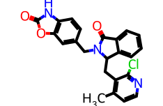 Cc1ccnc(Cl)c1CC1c2ccccc2C(=O)N1Cc1ccc2[nH]c(=O)oc2c1